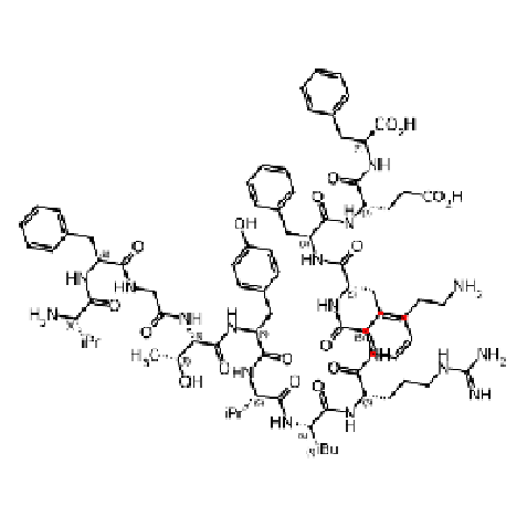 CC[C@H](C)[C@H](NC(=O)[C@@H](NC(=O)[C@H](Cc1ccc(O)cc1)NC(=O)[C@@H](NC(=O)CNC(=O)[C@H](Cc1ccccc1)NC(=O)[C@@H](N)C(C)C)[C@@H](C)O)C(C)C)C(=O)N[C@@H](CCCNC(=N)N)C(=O)N[C@@H](CCCCN)C(=O)N[C@@H](Cc1ccccc1)C(=O)N[C@@H](Cc1ccccc1)C(=O)N[C@@H](CCC(=O)O)C(=O)N[C@@H](Cc1ccccc1)C(=O)O